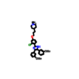 COc1cccc(-c2nc(-c3ccc(OCCCC4CCN(C)CC4)cc3Cl)[nH]c2-c2cccc(OC)c2)c1